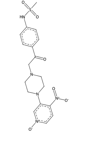 CS(=O)(=O)Nc1ccc(C(=O)CN2CCN(c3c[n+]([O-])ccc3[N+](=O)[O-])CC2)cc1